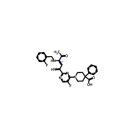 CC(=O)/C(=C/C(=N)c1ncc(F)c(N2CCC(C(=O)O)(c3ccccc3)CC2)n1)NCc1ccccc1F